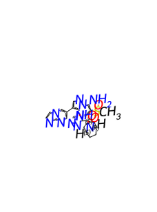 CS(=O)(=O)c1c([C@@H]2C[C@H]3CC[C@@H](C2)N3C(=O)c2nnc[nH]2)nc2c(-c3cnc4nccn4c3)cnn2c1N